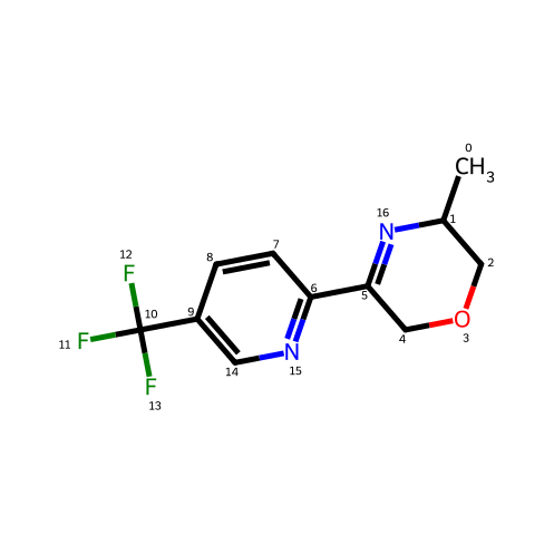 CC1COCC(c2ccc(C(F)(F)F)cn2)=N1